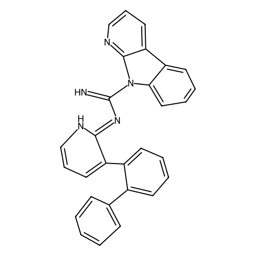 N=C(/N=c1\[nH]cccc1-c1ccccc1-c1ccccc1)n1c2ccccc2c2cccnc21